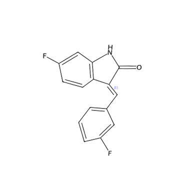 O=C1Nc2cc(F)ccc2/C1=C\c1cccc(F)c1